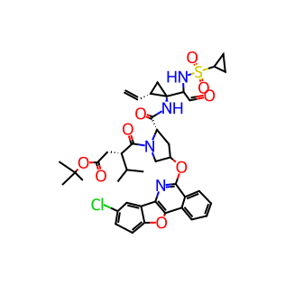 C=C[C@@H]1C[C@]1(NC(=O)[C@@H]1CC(Oc2nc3c4cc(Cl)ccc4oc3c3ccccc23)CN1C(=O)[C@@H](CC(=O)OC(C)(C)C)C(C)C)C(C=O)NS(=O)(=O)C1CC1